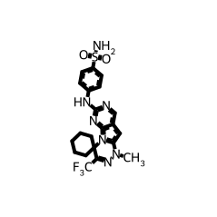 CN1N=C(C(F)(F)F)C2(CCCCC2)n2c1cc1cnc(Nc3ccc(S(N)(=O)=O)cc3)nc12